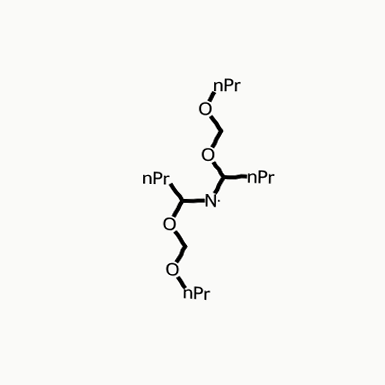 CCCOCOC(CCC)[N]C(CCC)OCOCCC